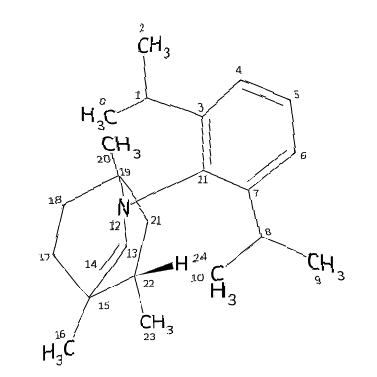 CC(C)c1cccc(C(C)C)c1N1C=CC2(C)CCC1(C)C[C@@H]2C